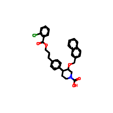 O=C(OCCCc1ccc(C2CCN(C(=O)O)CC2OCc2ccc3ccccc3c2)cc1)c1ccccc1Cl